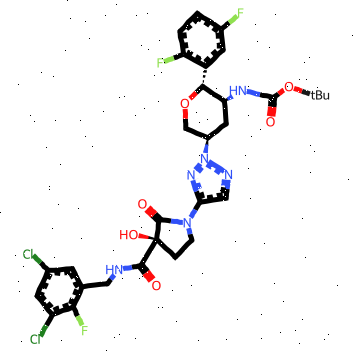 CC(C)(C)OC(=O)N[C@H]1C[C@@H](n2ncc(N3CC[C@](O)(C(=O)NCc4cc(Cl)cc(Cl)c4F)C3=O)n2)CO[C@@H]1c1cc(F)ccc1F